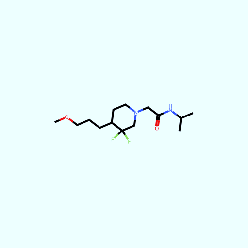 COCCCC1CCN(CC(=O)NC(C)C)CC1(F)F